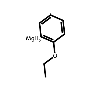 CCOc1cc[c]cc1.[MgH2]